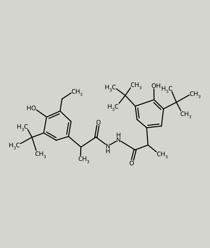 CCc1cc(C(C)C(=O)NNC(=O)C(C)c2cc(C(C)(C)C)c(O)c(C(C)(C)C)c2)cc(C(C)(C)C)c1O